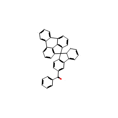 O=C(c1ccccc1)c1ccc2c(c1)C1=CC=CCC1C21c2cccc3c4ccccc4c4cccc1c4c23